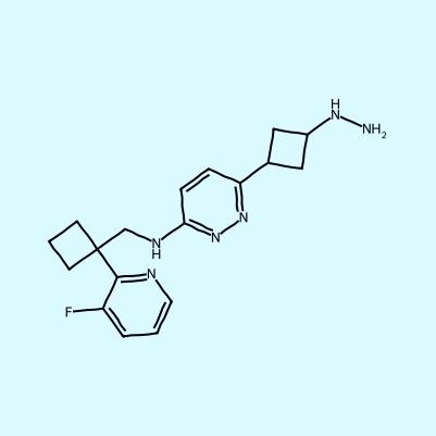 NNC1CC(c2ccc(NCC3(c4ncccc4F)CCC3)nn2)C1